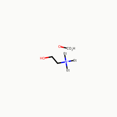 CC[N+](CC)(CC)CCO.O=C([O-])O